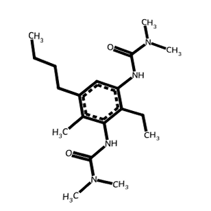 CCCCc1cc(NC(=O)N(C)C)c(CC)c(NC(=O)N(C)C)c1C